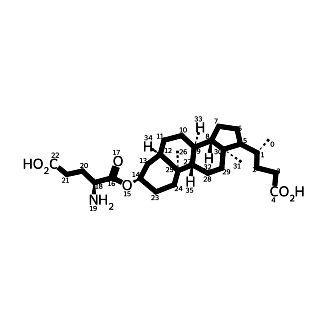 C[C@H](CCC(=O)O)C1CC[C@H]2[C@@H]3CC[C@@H]4C[C@@H](OC(=O)[C@@H](N)CCC(=O)O)CC[C@]4(C)[C@H]3CC[C@]12C